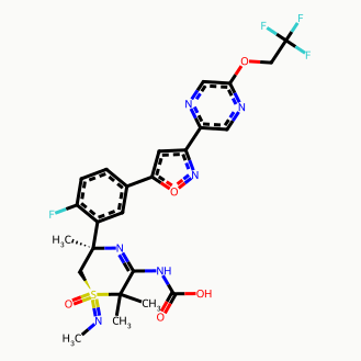 CN=[S@@]1(=O)C[C@@](C)(c2cc(-c3cc(-c4cnc(OCC(F)(F)F)cn4)no3)ccc2F)N=C(NC(=O)O)C1(C)C